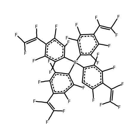 FC(F)=C(F)c1c(F)cc([B-](c2c(F)c(F)c(C(F)=C(F)F)c(F)c2F)(c2c(F)c(F)c(C(F)=C(F)F)c(F)c2F)c2c(F)c(F)c(C(F)=C(F)F)c(F)c2F)c(F)c1F